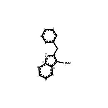 COc1c(Cc2ccccc2)oc2ccccc12